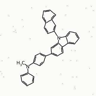 CN(c1ccccc1)c1ccc(-c2ccc3c4ccccc4n(-c4ccc5ccccc5c4)c3c2)cc1